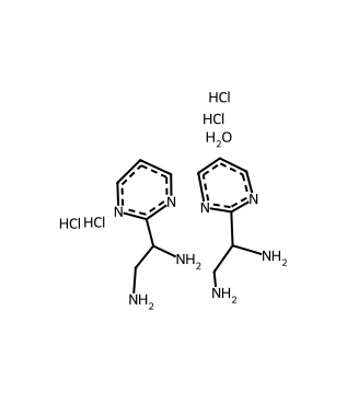 Cl.Cl.Cl.Cl.NCC(N)c1ncccn1.NCC(N)c1ncccn1.O